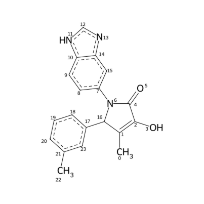 CC1=C(O)C(=O)N(c2ccc3[nH]cnc3c2)C1c1cccc(C)c1